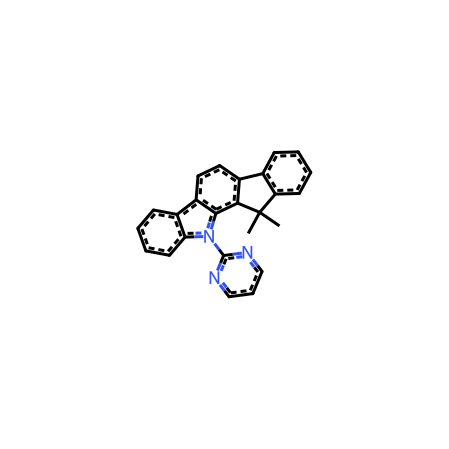 CC1(C)c2ccccc2-c2ccc3c4ccccc4n(-c4ncccn4)c3c21